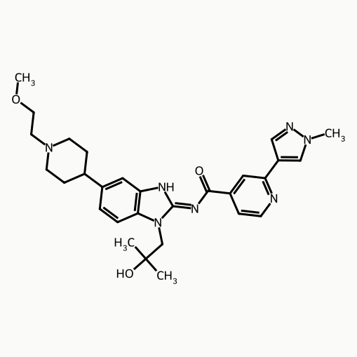 COCCN1CCC(c2ccc3c(c2)[nH]/c(=N\C(=O)c2ccnc(-c4cnn(C)c4)c2)n3CC(C)(C)O)CC1